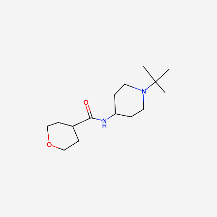 CC(C)(C)N1CCC(NC(=O)C2CCOCC2)CC1